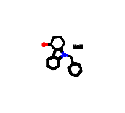 O=C1CCCc2c1c1ccccc1n2Cc1ccccc1.[NaH]